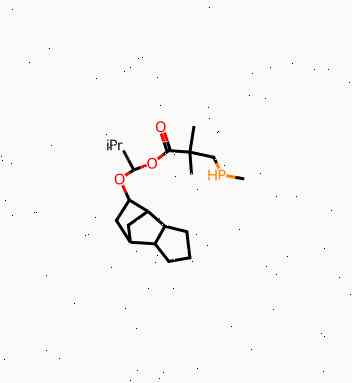 CPCC(C)(C)C(=O)OC(OC1CC2CC1C1CCCC21)C(C)C